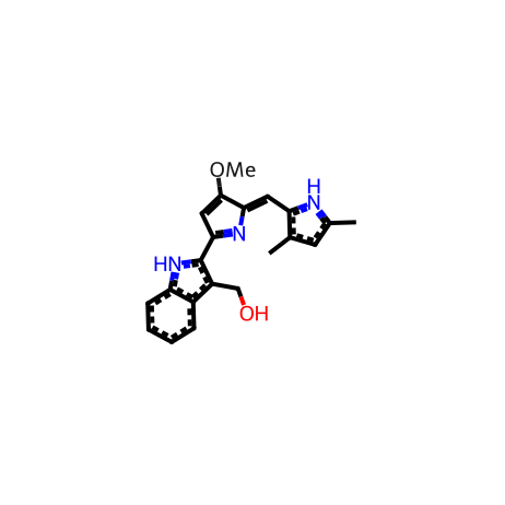 COC1=CC(c2[nH]c3ccccc3c2CO)=NC1=Cc1[nH]c(C)cc1C